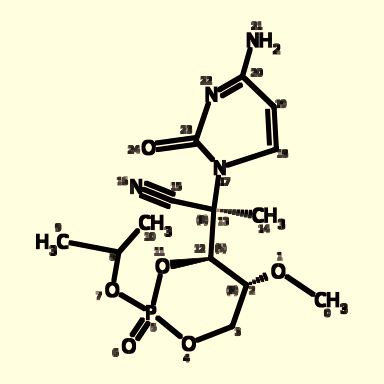 CO[C@@H]1COP(=O)(OC(C)C)O[C@H]1[C@@](C)(C#N)n1ccc(N)nc1=O